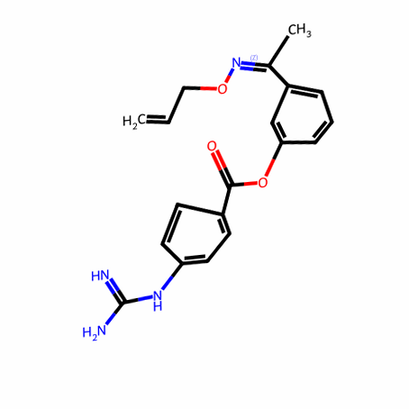 C=CCO/N=C(/C)c1cccc(OC(=O)c2ccc(NC(=N)N)cc2)c1